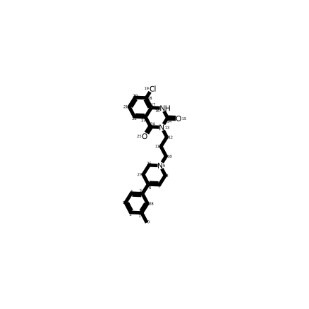 Cc1cccc(C2=CCN(CCCn3c(=O)[nH]c4c(Cl)cccc4c3=O)CC2)c1